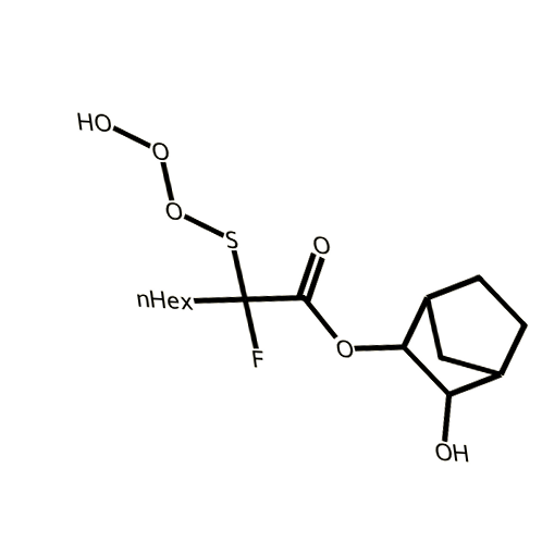 CCCCCCC(F)(SOOO)C(=O)OC1C2CCC(C2)C1O